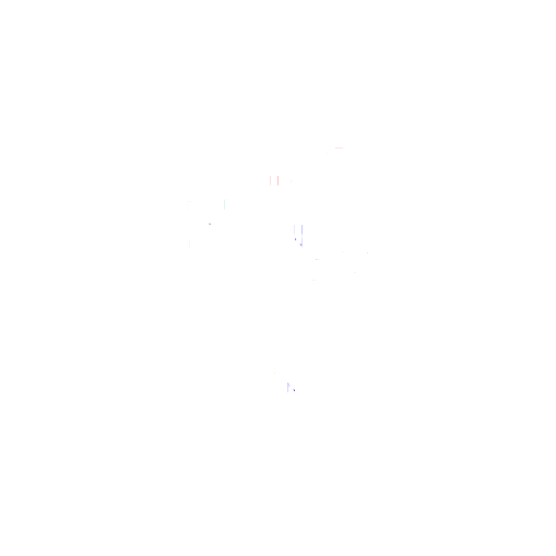 CN(C)S(=O)(=O)c1cccc(-c2cc(NC(=O)C3(c4ccc(O)c(O)c4)CC3)cc(C(F)(F)F)c2)c1